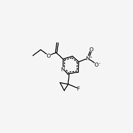 C=C(OCC)c1cc([N+](=O)[O-])cc(C2(F)CC2)n1